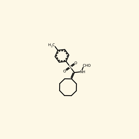 Cc1ccc(S(=O)(=O)C(NC=O)=C2CCCCCCC2)cc1